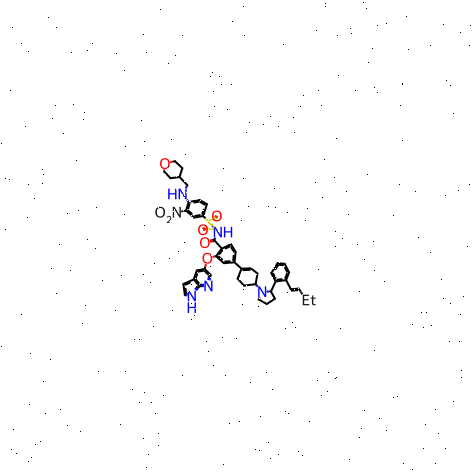 CCC=Cc1ccccc1C1CCCN1C1CC=C(c2ccc(C(=O)NS(=O)(=O)c3ccc(NCC4CCOCC4)c([N+](=O)[O-])c3)c(Oc3cnc4[nH]ccc4c3)c2)CC1